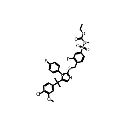 CCOC(=O)NS(=O)(=O)c1ccc(CSc2ncc(C(C)(C)c3ccc(Cl)c(OC)c3)n2-c2ccc(F)cc2)c(F)c1